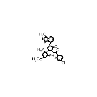 COc1cc(P)c([C@@H]2CN(c3cccn4c(C)nnc34)C(=O)[C@H]2CC(=O)c2ccc(Cl)cc2)c(P)c1